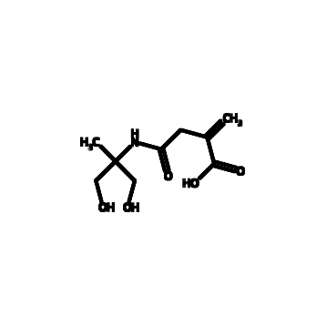 C=C(CC(=O)NC(C)(CO)CO)C(=O)O